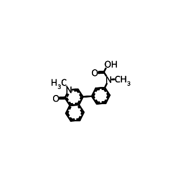 CN(C(=O)O)c1cccc(-c2cn(C)c(=O)c3ccccc23)c1